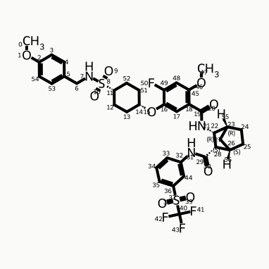 COc1ccc(CNS(=O)(=O)[C@H]2CC[C@@H](Oc3cc(C(=O)N[C@@H]4[C@@H]5CC[C@@H](C5)[C@@H]4C(=O)Nc4cccc(S(=O)(=O)C(F)(F)F)c4)c(OC)cc3F)CC2)cc1